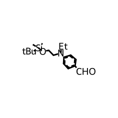 CCN(CCO[Si](C)(C)C(C)(C)C)c1ccc(C=O)cc1